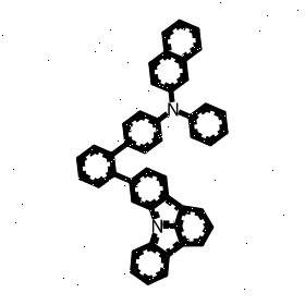 c1ccc(N(c2ccc(-c3ccccc3-c3ccc4c5cccc6c7ccccc7n(c4c3)c65)cc2)c2ccc3ccccc3c2)cc1